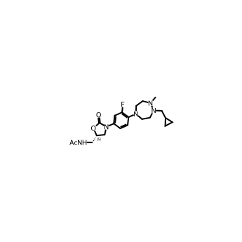 CC(=O)NC[C@H]1CN(c2ccc(N3CCN(C)N(CC4CC4)CC3)c(F)c2)C(=O)O1